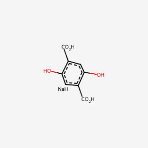 O=C(O)c1cc(O)c(C(=O)O)cc1O.[NaH]